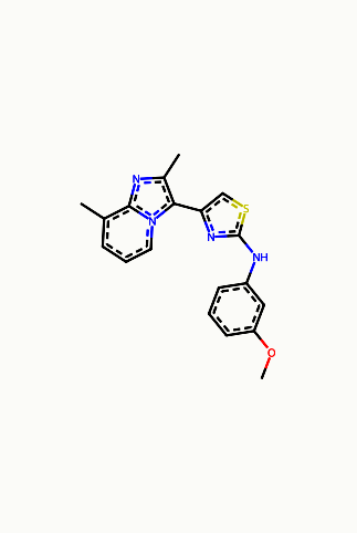 COc1cccc(Nc2nc(-c3c(C)nc4c(C)cccn34)cs2)c1